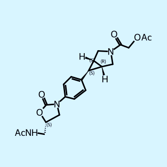 CC(=O)NC[C@H]1CN(c2ccc([C@H]3[C@@H]4CN(C(=O)COC(C)=O)C[C@@H]43)cc2)C(=O)O1